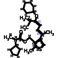 C=C(C)/C(=C\C=C(/C)c1csc(C)c1COC(=O)N(C)C1CCCC1)OC1CCCCC1